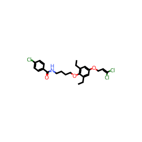 CCc1cc(OCC=C(Cl)Cl)cc(CC)c1OCCCCNC(=O)c1ccc(Cl)cc1